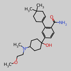 COCCN(C)C1CCC(O)(c2ccc(C(N)=O)c(C3=CCC(C)(C)CC3)c2)CC1